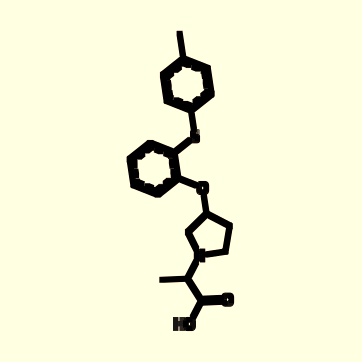 Cc1ccc(Sc2ccccc2OC2CCN(C(C)C(=O)O)C2)cc1